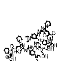 CCN(CC)c1ccc(/N=N/c2nc(N3CCCCC3)c(C=C(C(C)=O)C(=O)Nc3ccccc3S(=O)(=O)O)s2)c(Nc2nc(Nc3cc(N(CC)CC)ccc3/N=N/c3nc(N4CCCCC4)c(/C=C(\C(C)=O)C(=O)Nc4ccccc4S(=O)(=O)O)s3)nc(N(CCO)CCO)n2)c1